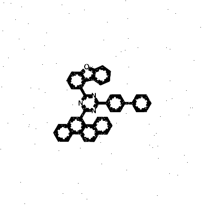 c1ccc(-c2ccc(-c3nc(-c4cccc5oc6ccccc6c45)nc(-c4cc5ccccc5c5ccc6ccccc6c45)n3)cc2)cc1